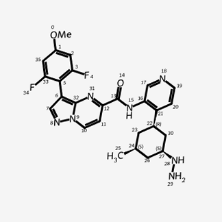 COc1cc(F)c(-c2cnn3ccc(C(=O)Nc4cnccc4[C@@H]4C[C@H](C)C[C@H](NN)C4)nc23)c(F)c1